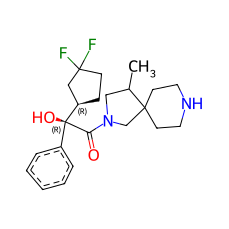 CC1CN(C(=O)[C@](O)(c2ccccc2)[C@@H]2CCC(F)(F)C2)CC12CCNCC2